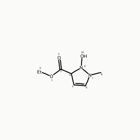 CCOC(=O)C1C=CN(C)N1O